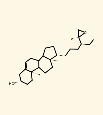 CC[C@@H](CCC[C@H]1CCC2C3CC=C4C[C@@H](O)CC[C@]4(C)C3CC[C@@]21C)[C@@]1(C)CO1